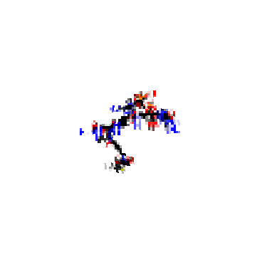 CCC(C)(CC)SC1CC(=O)N(CCCCCC(=O)NC(C(=O)N[C@@H](CCCNC(N)=O)C(=O)Nc2ccc(COC(=O)NCCCC3C(OP(=O)(O)OC[C@H]4O[C@@H](n5cnc6c(N)ncnc65)C(O)C4C[PH](=O)O)[C@H](n4cnc5c(=O)[nH]c(N)nc54)O[C@@H]3CO)cc2)C(C)C)C1=O